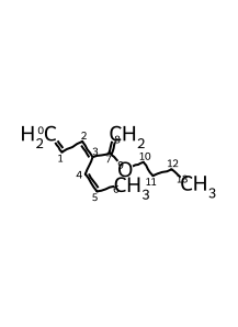 C=C/C=C(\C=C/C)C(=C)OCCCC